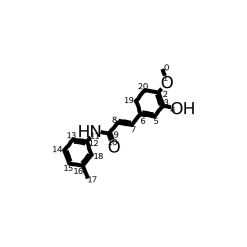 COC1=C(O)C=C(/C=C/C(=O)Nc2cccc(C)c2)CC1